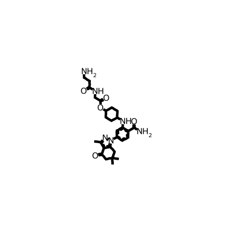 Cc1nn(-c2ccc(C(N)=O)c(NC3CCC(OC(=O)CNC(=O)CCN)CC3)c2)c2c1C(=O)CC(C)(C)C2